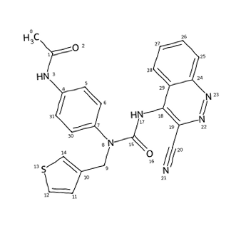 CC(=O)Nc1ccc(N(Cc2ccsc2)C(=O)Nc2c(C#N)nnc3ccccc23)cc1